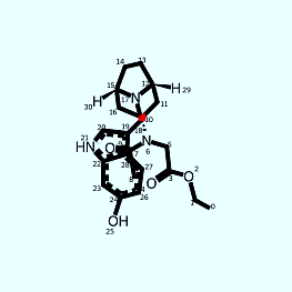 CCOC(=O)CN(C(C)=O)[C@H]1C[C@H]2CC[C@@H](C1)N2Cc1c[nH]c2cc(O)ccc12